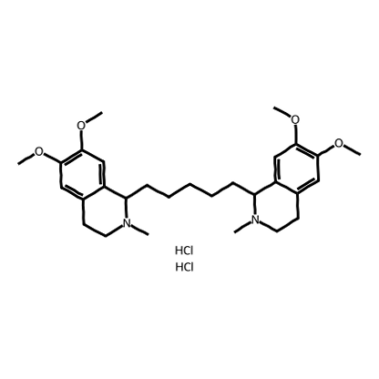 COc1cc2c(cc1OC)C(CCCCCC1c3cc(OC)c(OC)cc3CCN1C)N(C)CC2.Cl.Cl